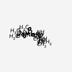 CCc1ccc(CCc2ccc(C)cc2-c2c[nH]c([C@@H]3CCCN3C(=O)[C@H](CCSC)NC(=O)OC)n2)cc1-c1c[nH]c([C@@H]2CCCN2C(=O)[C@H](CCSC)NC(=O)OC)n1